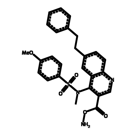 COc1ccc(S(=O)(=O)N(C)c2c(C(=O)ON)cnc3ccc(CCc4ccccc4)cc23)cc1